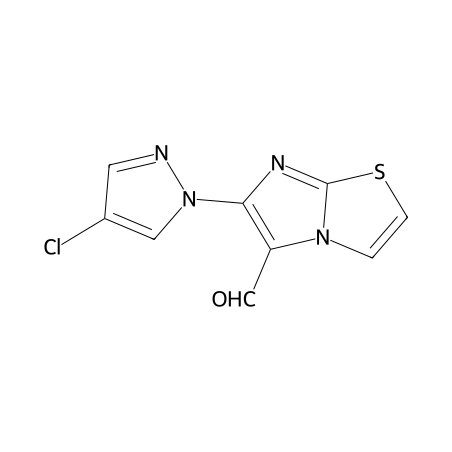 O=Cc1c(-n2cc(Cl)cn2)nc2sccn12